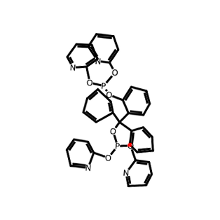 c1ccc(C(OP(Oc2ccccn2)Oc2ccccn2)(c2ccccc2)c2ccccc2OP(Oc2ccccn2)Oc2ccccn2)cc1